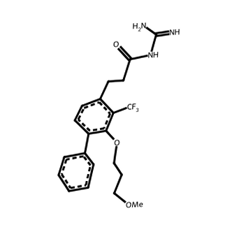 COCCCOc1c(-c2ccccc2)ccc(CCC(=O)NC(=N)N)c1C(F)(F)F